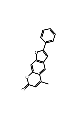 Cc1cc(=O)oc2cc3oc(-c4ccccc4)cc3cc12